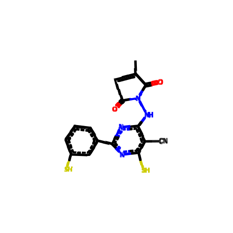 CC1=CC(=O)N(Nc2nc(-c3cccc(S)c3)nc(S)c2C#N)C1=O